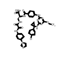 COC(=O)[C@H](CNC(=O)C(=O)Nc1ccc(-n2ccnc2)cc1)NC(=O)c1ccc(Nc2nc(NC3(c4ccc(Cl)cc4)CC3)nc(OCC(F)(F)F)n2)cc1